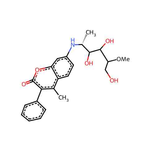 COC(CO)C(O)C(O)[C@@H](C)Nc1ccc2c(C)c(-c3ccccc3)c(=O)oc2c1